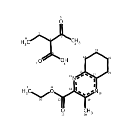 CCC(C(C)=O)C(=O)O.CCOC(=O)c1nc2c(nc1C)CCCC2